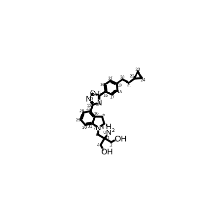 NC(CO)(CO)CN1CCc2c(-c3noc(-c4ccc(CCC5CC5)cc4)n3)cccc21